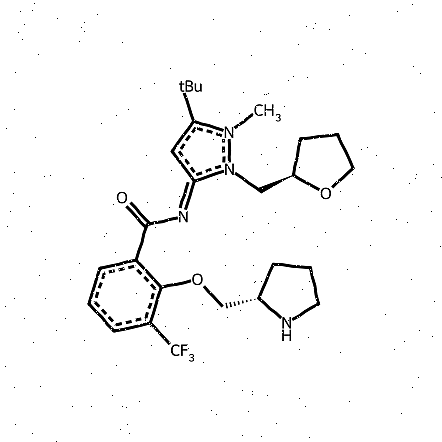 Cn1c(C(C)(C)C)cc(=NC(=O)c2cccc(C(F)(F)F)c2OC[C@@H]2CCCN2)n1C[C@H]1CCCO1